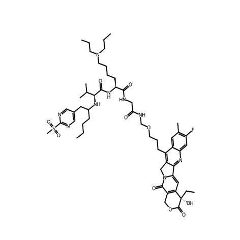 CCCCC(Cc1cnc(S(C)(=O)=O)nc1)N[C@H](C(=O)N[C@@H](CCCCN(CCC)CCC)C(=O)NCC(=O)NCOCCCc1c2c(nc3cc(F)c(C)cc13)-c1cc3c(c(=O)n1C2)COC(=O)[C@]3(O)CC)C(C)C